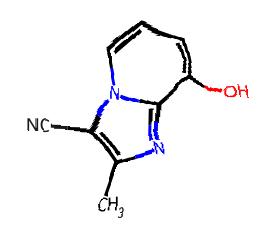 Cc1nc2c(O)cccn2c1C#N